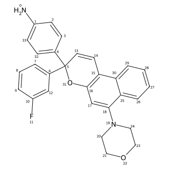 Nc1ccc(C2(c3cccc(F)c3)C=Cc3c(cc(N4CCOCC4)c4ccccc34)O2)cc1